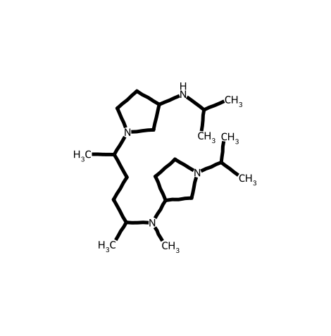 CC(C)NC1CCN(C(C)CCC(C)N(C)C2CCN(C(C)C)C2)C1